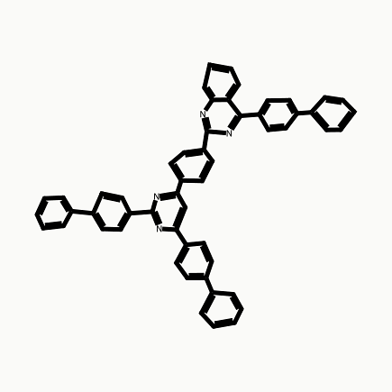 c1ccc(-c2ccc(-c3cc(-c4ccc(-c5nc(-c6ccc(-c7ccccc7)cc6)c6ccccc6n5)cc4)nc(-c4ccc(-c5ccccc5)cc4)n3)cc2)cc1